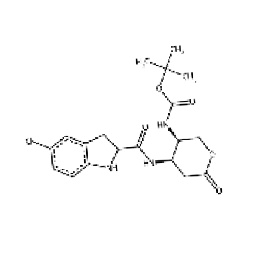 CC(C)(C)OC(=O)N[C@H]1COC(=O)C[C@H]1NC(=O)C1Cc2cc(Cl)ccc2N1